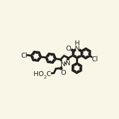 O=C(O)CCC(=O)N1N=C(c2c(-c3ccccc3)c3cc(Cl)ccc3[nH]c2=O)CC1c1ccc(-c2ccc(Cl)cc2)cc1